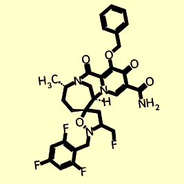 C[C@H]1CC[C@]2(CC(CF)N(Cc3c(F)cc(F)cc3F)O2)[C@H]2CN1C(=O)c1c(OCc3ccccc3)c(=O)c(C(N)=O)cn12